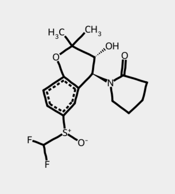 CC1(C)Oc2ccc([S+]([O-])C(F)F)cc2[C@H](N2CCCCC2=O)[C@H]1O